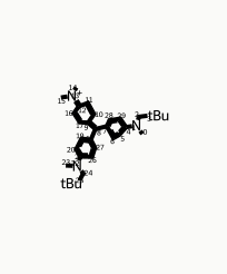 CN(CC(C)(C)C)c1ccc(C(=C2C=CC(=[N+](C)C)C=C2)c2ccc(N(C)CC(C)(C)C)cc2)cc1